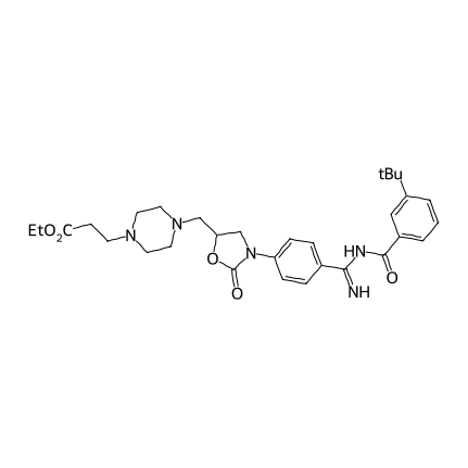 CCOC(=O)CCN1CCN(CC2CN(c3ccc(C(=N)NC(=O)c4cccc(C(C)(C)C)c4)cc3)C(=O)O2)CC1